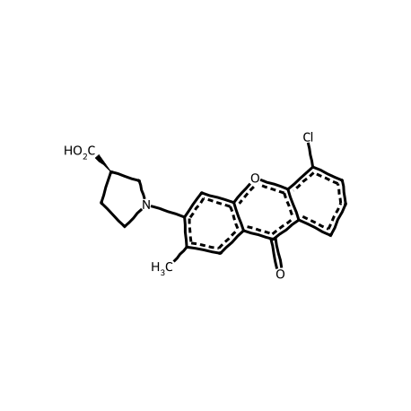 Cc1cc2c(=O)c3cccc(Cl)c3oc2cc1N1CC[C@@H](C(=O)O)C1